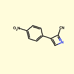 N#CC1=NC=C1c1ccc([N+](=O)[O-])cc1